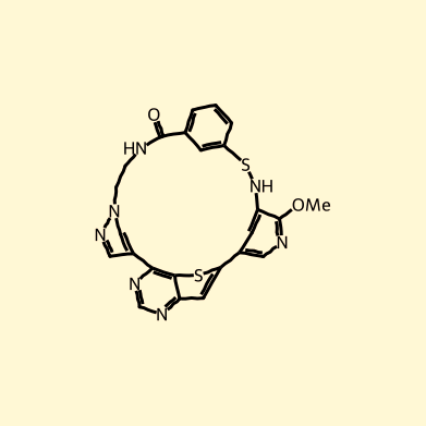 COc1ncc2cc1NSc1cccc(c1)C(=O)NCCn1cc(cn1)-c1ncnc3cc-2sc13